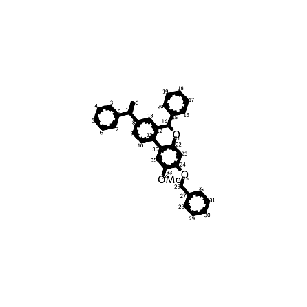 C=C(c1ccccc1)c1ccc2c(c1)C(c1ccccc1)Oc1cc(OCc3ccccc3)c(OC)cc1-2